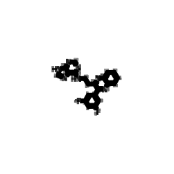 Fc1cc(F)cc(-c2nc3ccccc3nc2CCNc2ncnc3[nH]cnc23)c1